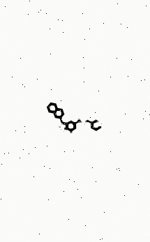 O=C(NCc1cccnc1)c1cc(F)c2[nH]nc(-c3ccc4ccccc4c3)c2c1